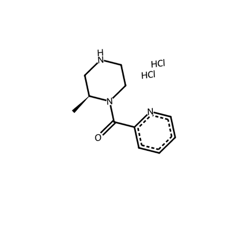 C[C@H]1CNCCN1C(=O)c1ccccn1.Cl.Cl